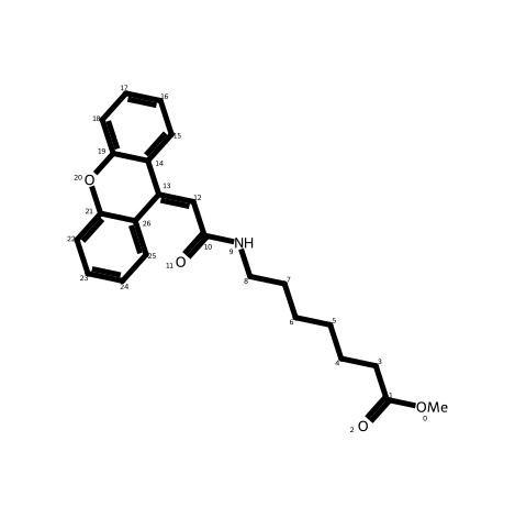 COC(=O)CCCCCCNC(=O)C=C1c2ccccc2Oc2ccccc21